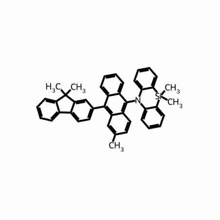 Cc1ccc2c(N3c4ccccc4[Si](C)(C)c4ccccc43)c3ccccc3c(-c3ccc4c(c3)C(C)(C)c3ccccc3-4)c2c1